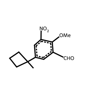 COc1c(C=O)cc(C2(C)CCC2)cc1[N+](=O)[O-]